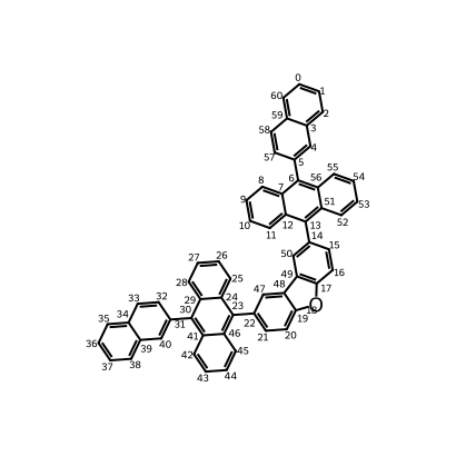 c1ccc2cc(-c3c4ccccc4c(-c4ccc5oc6ccc(-c7c8ccccc8c(-c8ccc9ccccc9c8)c8ccccc78)cc6c5c4)c4ccccc34)ccc2c1